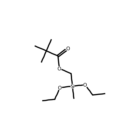 CCO[Si](C)(COC(=O)C(C)(C)C)OCC